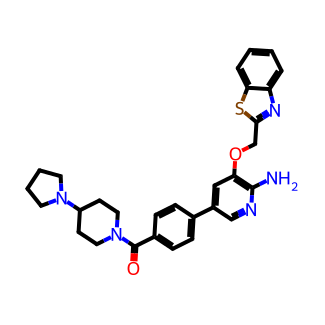 Nc1ncc(-c2ccc(C(=O)N3CCC(N4CCCC4)CC3)cc2)cc1OCc1nc2ccccc2s1